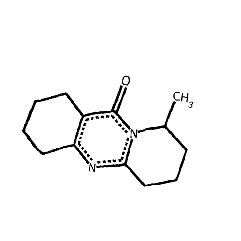 CC1CCCc2nc3c(c(=O)n21)CCCC3